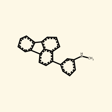 CBc1cccc(-c2ccc3c4c(cccc24)-c2ccccc2-3)c1